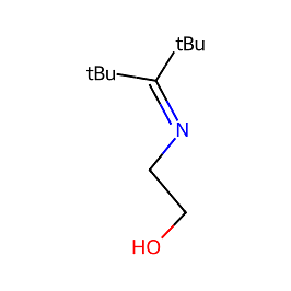 CC(C)(C)C(=NCCO)C(C)(C)C